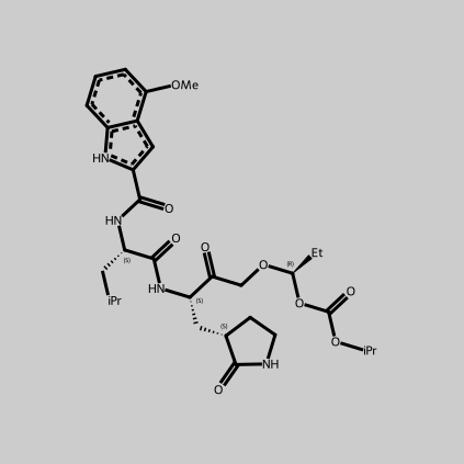 CC[C@H](OCC(=O)[C@H](C[C@@H]1CCNC1=O)NC(=O)[C@H](CC(C)C)NC(=O)c1cc2c(OC)cccc2[nH]1)OC(=O)OC(C)C